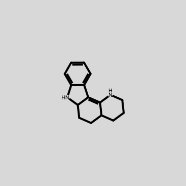 c1ccc2c(c1)NC1CCC3CCCNC3=C21